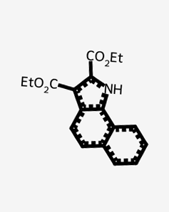 CCOC(=O)c1[nH]c2c(ccc3ccccc32)c1C(=O)OCC